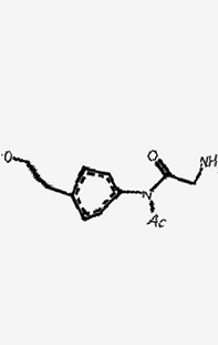 CC(=O)N(C(=O)CN)c1ccc(CC[O])cc1